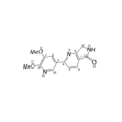 COc1cc(-c2ccc3c(n2)CNC3=O)cnc1OC